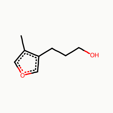 Cc1cocc1CCCO